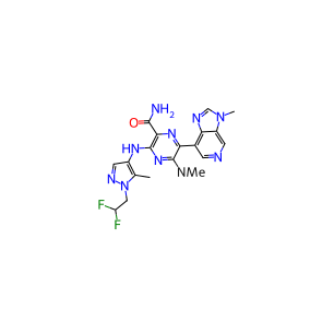 CNc1nc(Nc2cnn(CC(F)F)c2C)c(C(N)=O)nc1-c1cncc2c1ncn2C